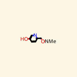 CNOCc1ccc(O)cn1